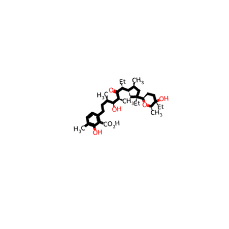 CC[C@@H](C(=O)[C@@H](C)[C@@H](O)[C@H](C)CCc1ccc(C)c(O)c1C(=O)O)[C@H]1C[C@](CC)([C@H]2CC[C@](O)(CC)[C@H](C)O2)C[C@@H]1C